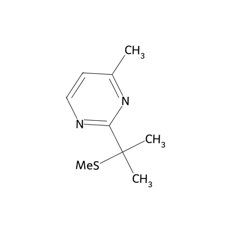 CSC(C)(C)c1nccc(C)n1